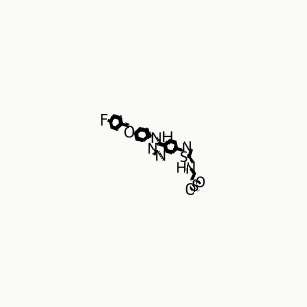 CS(=O)(=O)CCNCc1cnc(-c2ccc3c(Nc4ccc(OCc5ccc(F)cc5)cc4)ncnc3c2)s1